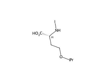 CC(C)OCC[C@@H](NI)C(=O)O